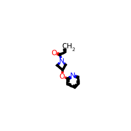 C=CC(=O)N1CC(Oc2ccccn2)C1